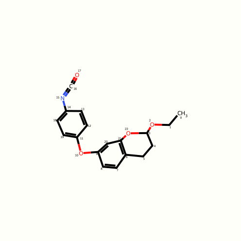 CCOC1CCc2ccc(Oc3ccc(N=C=O)cc3)cc2O1